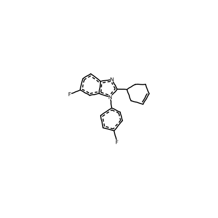 Fc1ccc(-n2c(C3CC=CCC3)nc3ccc(F)cc32)cc1